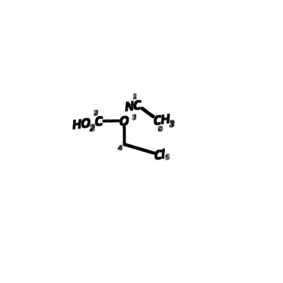 CC#N.O=C(O)OCCl